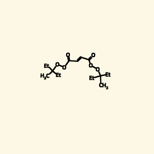 CCC(C)(CC)OOC(=O)C=CC(=O)OOC(C)(CC)CC